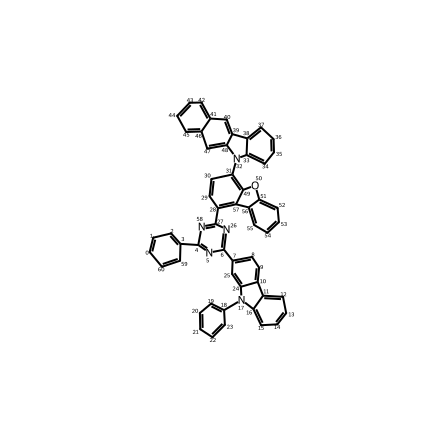 c1ccc(-c2nc(-c3ccc4c5ccccc5n(-c5ccccc5)c4c3)nc(-c3ccc(-n4c5ccccc5c5cc6ccccc6cc54)c4oc5ccccc5c34)n2)cc1